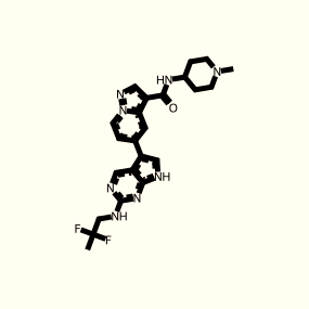 CN1CCC(NC(=O)c2cnn3ccc(-c4c[nH]c5nc(NCC(C)(F)F)ncc45)cc23)CC1